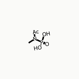 CC(=O)N(C)P(=O)(O)O